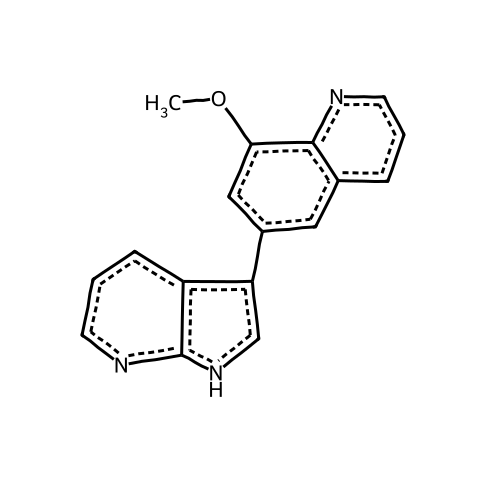 COc1cc(-c2c[nH]c3ncccc23)cc2cccnc12